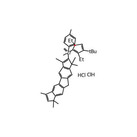 Cl.Cl.[CH2]=[Zr]([CH3])([C]1=C(CC)C(C(C)(C)C)=CC1CC)([C]1=C(C)c2cc3c(cc2C1(C)C)Cc1cc2c(cc1-3)C(C)=CC2(C)C)[c]1ccc(C)cc1